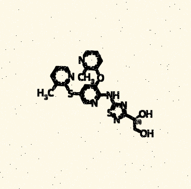 Cc1cccnc1Sc1cnc(Nc2nc([C@H](O)CO)ns2)c(Oc2cccnc2C)c1